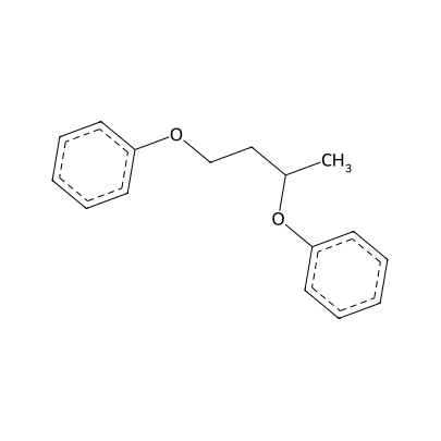 CC(CCOc1ccccc1)Oc1ccccc1